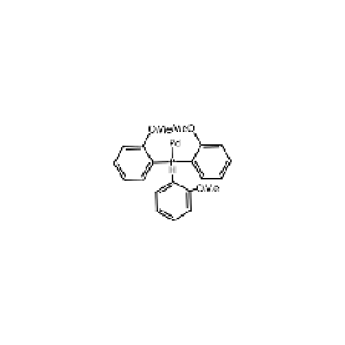 COc1ccccc1[PH]([Pd])(c1ccccc1OC)c1ccccc1OC